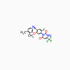 Cc1cccc(Oc2cc(-n3c(=O)cc(C(F)(F)F)[nH]c3=O)c(F)cc2C#N)c1C